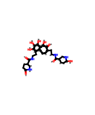 O=C1CCC(C(=O)NCCc2c(O)c(O)c(O)c3c(O)c(=O)c(CCNC(=O)C4CCC(O)NC4)ccc23)CN1